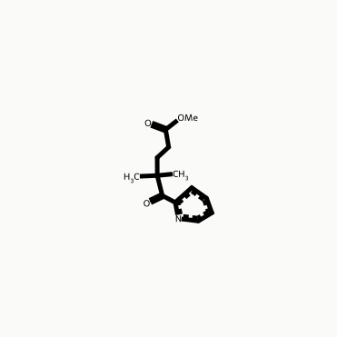 COC(=O)CCC(C)(C)C(=O)c1ccccn1